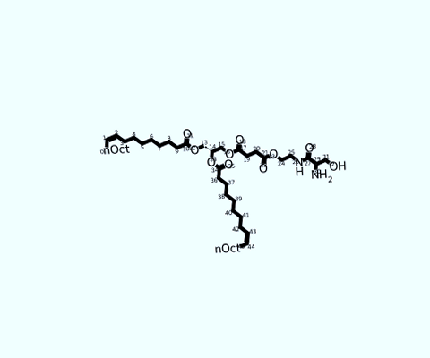 CCCCCCCC/C=C\CCCCCCCC(=O)OC[C@H](COC(=O)CCC(=O)OCCNC(=O)C(N)CO)OC(=O)CCCCCCC/C=C\CCCCCCCC